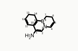 NC1=CN2C=CCCB2C2=C1C=CCC2